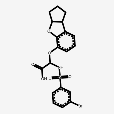 O=C(O)C(NS(=O)(=O)c1cccc(Br)c1)Oc1cccc2c1OC1CCCC21